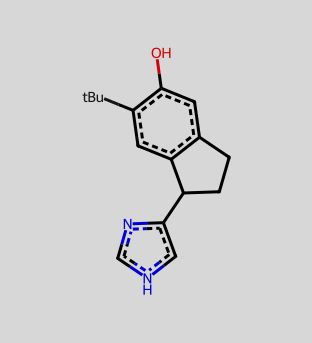 CC(C)(C)c1cc2c(cc1O)CCC2c1c[nH]cn1